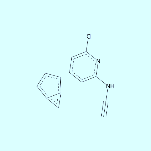 C#CNc1cccc(Cl)n1.c1cc2cc-2c1